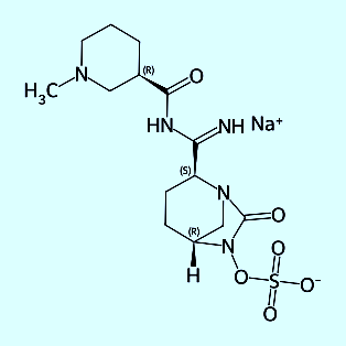 CN1CCC[C@@H](C(=O)NC(=N)[C@@H]2CC[C@@H]3CN2C(=O)N3OS(=O)(=O)[O-])C1.[Na+]